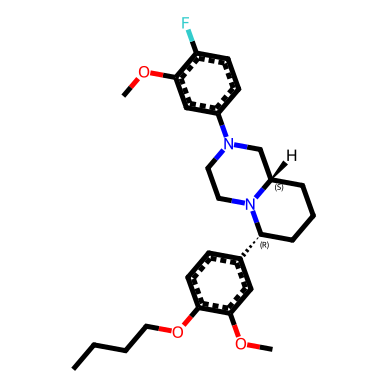 CCCCOc1ccc([C@H]2CCC[C@H]3CN(c4ccc(F)c(OC)c4)CCN32)cc1OC